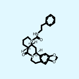 O=C(NCCc1ccccc1)N1CCC[C@H]2C(=O)N3CCc4cc5c(cc4[C@@H]3C[C@H]21)OCO5